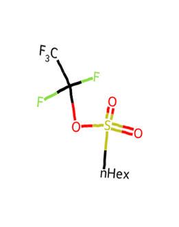 CCCCCCS(=O)(=O)OC(F)(F)C(F)(F)F